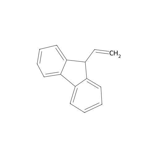 C=CC1c2ccccc2-c2ccccc21